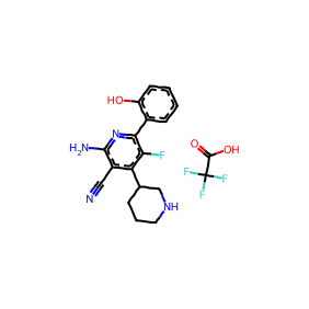 N#Cc1c(N)nc(-c2ccccc2O)c(F)c1C1CCCNC1.O=C(O)C(F)(F)F